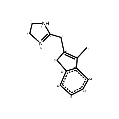 CC1=C(CC2=NCCN2)Cc2ccccc21